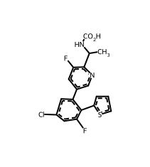 CC(NC(=O)O)c1ncc(-c2cc(Cl)cc(F)c2-c2cccs2)cc1F